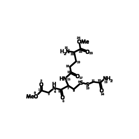 COC(=O)CNC(=O)C(CSSCC(N)=O)NC(=O)CCC(N)C(=O)OC